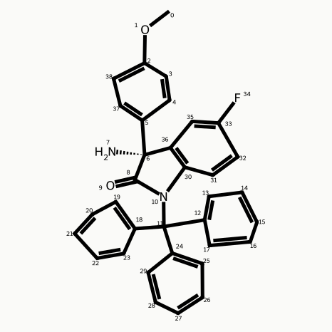 COc1ccc([C@]2(N)C(=O)N(C(c3ccccc3)(c3ccccc3)c3ccccc3)c3ccc(F)cc32)cc1